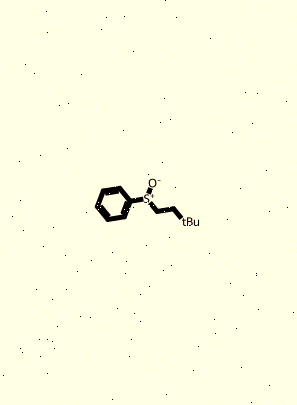 CC(C)(C)CC[S+]([O-])c1ccccc1